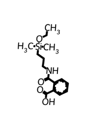 CCO[Si](C)(C)CCCNC(=O)c1ccccc1C(=O)O